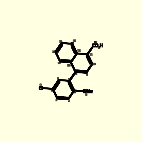 CNc1ccc(Cl)cc1-c1ccc(C(=O)O)c2ncccc12